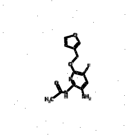 CC(=O)Nc1nc(OCc2ccoc2)c(F)cc1N